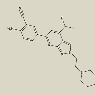 N#Cc1cc(-c2cc(C(F)F)c3cn(CCN4CCCCC4)nc3n2)ccc1N